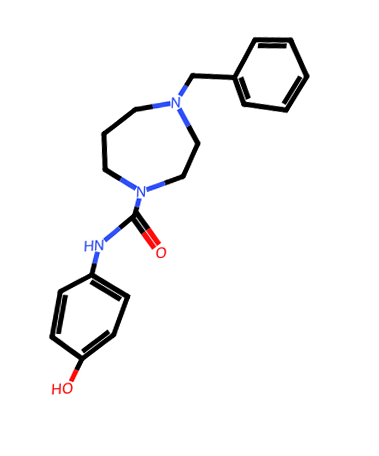 O=C(Nc1ccc(O)cc1)N1CCCN(Cc2ccccc2)CC1